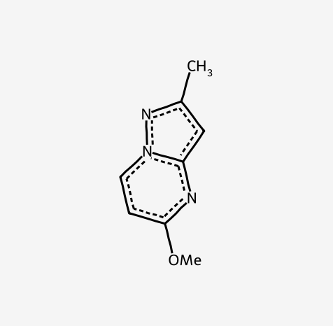 COc1ccn2nc(C)cc2n1